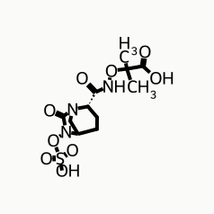 CC(C)(ONC(=O)[C@@H]1CCC2CN1C(=O)N2OS(=O)(=O)O)C(=O)O